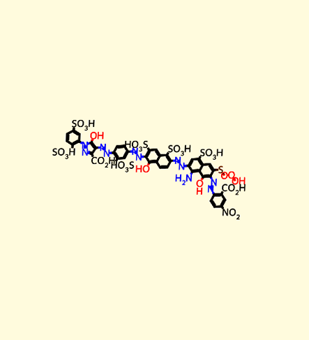 Nc1c(N=Nc2ccc3c(O)c(N=Nc4ccc(N=Nc5c(C(=O)O)nn(-c6cc(S(=O)(=O)O)ccc6S(=O)(=O)O)c5O)c(S(=O)(=O)O)c4)c(S(=O)(=O)O)cc3c2S(=O)(=O)O)cc(S(=O)(=O)O)c2cc(SOOO)c(N=Nc3ccc([N+](=O)[O-])cc3C(=O)O)c(O)c12